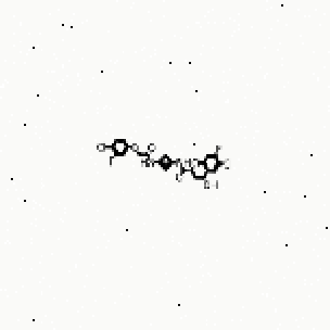 O=C(COc1ccc(Cl)c(F)c1)NC12CC(NC(=O)[C@H]3C[C@@H](O)c4cc(Cl)c(F)cc4O3)(C1)C2